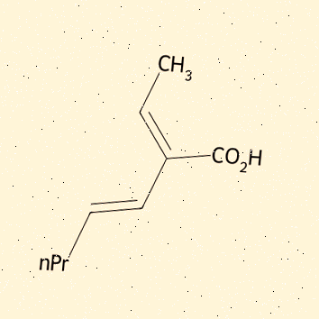 CC=C(C=CCCC)C(=O)O